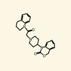 O=C(CN1CCC(N2C(=O)OCc3ccccc32)CC1)N1CCCc2ccccc21